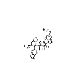 CO[C@@H]1COc2c(S(=O)(=O)NC(=O)Nc3c4c(cc(C)c3-c3ccc5nccn5c3)CCC4)cnn2C1